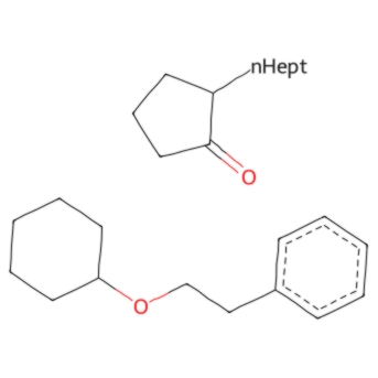 CCCCCCCC1CCCC1=O.c1ccc(CCOC2CCCCC2)cc1